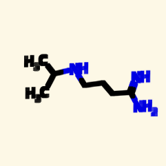 CC(C)NCCCC(=N)N